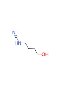 N#CNCCCCO